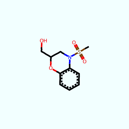 CS(=O)(=O)N1CC(CO)Oc2ccccc21